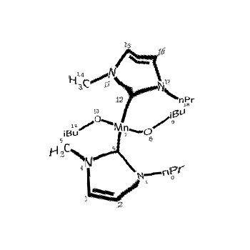 CCCN1C=CN(C)[CH]1[Mn]([O]C(C)CC)([O]C(C)CC)[CH]1N(C)C=CN1CCC